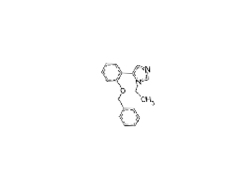 CCn1cncc1-c1ccccc1OCc1ccccc1